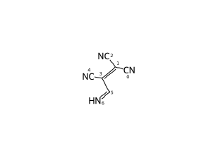 N#CC(C#N)=C(C#N)C=N